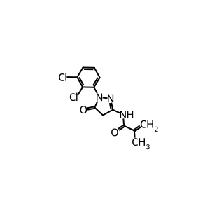 C=C(C)C(=O)NC1=NN(c2cccc(Cl)c2Cl)C(=O)C1